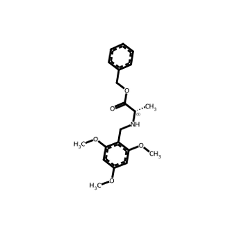 COc1cc(OC)c(CN[C@@H](C)C(=O)OCc2ccccc2)c(OC)c1